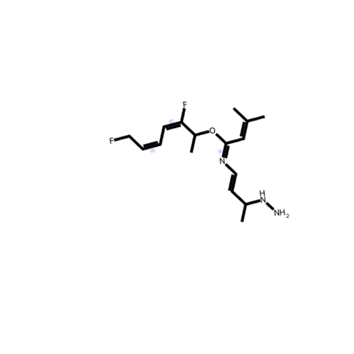 CC(C)=C/C(=N\C=CC(C)NN)OC(C)/C(F)=C\C=C/CF